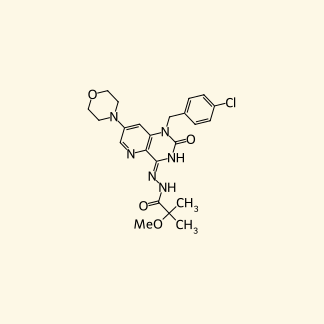 COC(C)(C)C(=O)N/N=c1\[nH]c(=O)n(Cc2ccc(Cl)cc2)c2cc(N3CCOCC3)cnc12